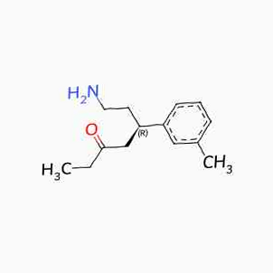 CCC(=O)C[C@@H](CCN)c1cccc(C)c1